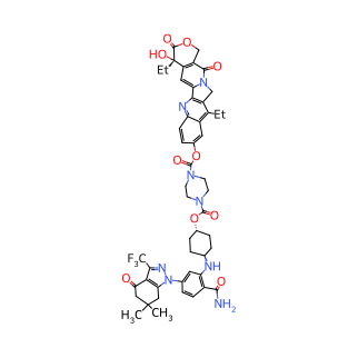 CCc1c2c(nc3ccc(OC(=O)N4CCN(C(=O)O[C@H]5CC[C@H](Nc6cc(-n7nc(C(F)(F)F)c8c7CC(C)(C)CC8=O)ccc6C(N)=O)CC5)CC4)cc13)-c1cc3c(c(=O)n1C2)COC(=O)[C@]3(O)CC